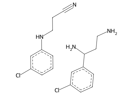 N#CCCNc1cccc(Cl)c1.NCCC(N)c1cccc(Cl)c1